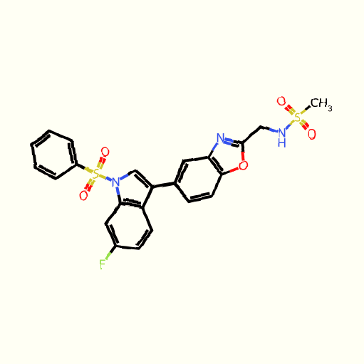 CS(=O)(=O)NCc1nc2cc(-c3cn(S(=O)(=O)c4ccccc4)c4cc(F)ccc34)ccc2o1